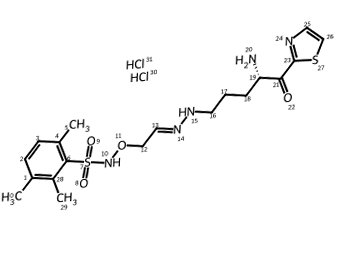 Cc1ccc(C)c(S(=O)(=O)NOCC=NNCCC[C@H](N)C(=O)c2nccs2)c1C.Cl.Cl